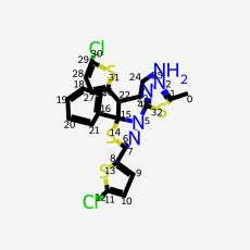 Cc1nnc(N2N=C(c3ccc(Cl)s3)SC2(c2ccccc2)C(CCN)c2ccc(Cl)s2)s1